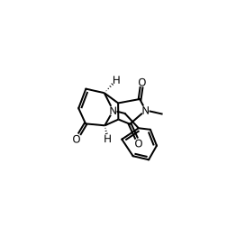 CN1C(=O)C2C(C1=O)[C@@H]1C=CC(=O)[C@H]2N1Cc1ccccc1